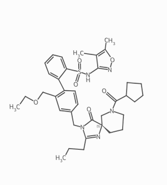 CCCC1=N[C@]2(CCCN(C(=O)C3CCCC3)C2)C(=O)N1Cc1ccc(-c2ccccc2S(=O)(=O)Nc2noc(C)c2C)c(COCC)c1